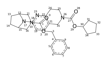 O=C(OCc1ccccc1)N1CC2CCC(C1)N2c1ccc2c(n1)CCN(C(=O)OC1CCCC1)C2